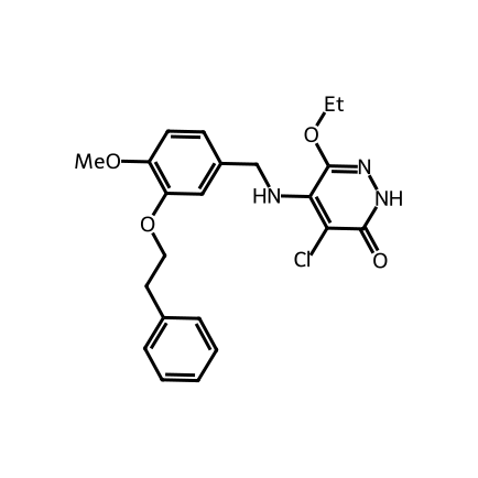 CCOc1n[nH]c(=O)c(Cl)c1NCc1ccc(OC)c(OCCc2ccccc2)c1